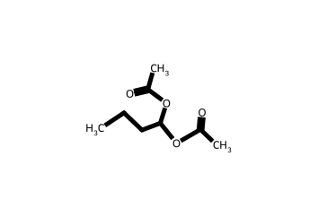 CCCC(OC(C)=O)OC(C)=O